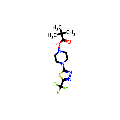 CC(C)(C)C(=O)ON1CCN(c2nnc(C(F)(F)F)s2)CC1